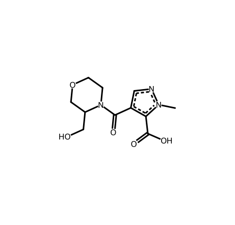 Cn1ncc(C(=O)N2CCOCC2CO)c1C(=O)O